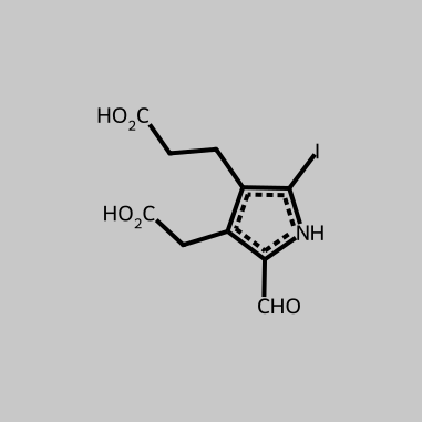 O=Cc1[nH]c(I)c(CCC(=O)O)c1CC(=O)O